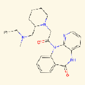 CC(C)CN(C)CC1CCCCN1CC(=O)N1c2ccccc2C(=O)Nc2cccnc21